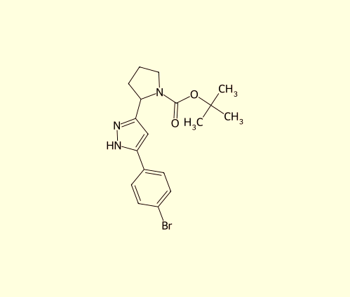 CC(C)(C)OC(=O)N1CCCC1c1cc(-c2ccc(Br)cc2)[nH]n1